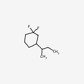 CCC(C)C1CCCC(F)(F)C1